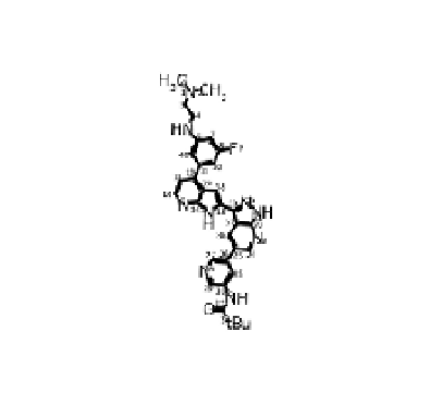 CN(C)CCNc1cc(F)cc(-c2ccnc3[nH]c(-c4n[nH]c5ncc(-c6cncc(NC(=O)C(C)(C)C)c6)cc45)cc23)c1